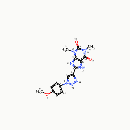 COc1ccc(-n2cc(-c3nc4c([nH]3)c(=O)n(C)c(=O)n4C)nn2)cc1